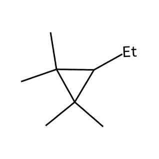 CCC1C(C)(C)C1(C)C